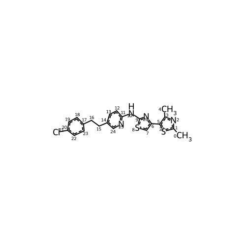 Cc1nc(C)c(-c2csc(Nc3ccc(CCc4ccc(Cl)cc4)cn3)n2)s1